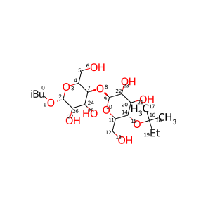 CCC(C)O[C@@H]1OC(CO)[C@@H](O[C@@H]2OC(CO)[C@@H](OC(C)(C)CC)C(O)C2O)C(O)C1O